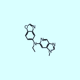 CCN(c1ccc2ocnc2c1)c1cc2c(cn1)ncn2C